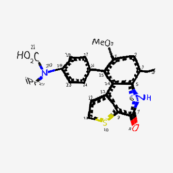 COc1cc(C)c2[nH]c(=O)c3sccc3c2c1-c1ccc(N(C(=O)O)C(C)C)cc1